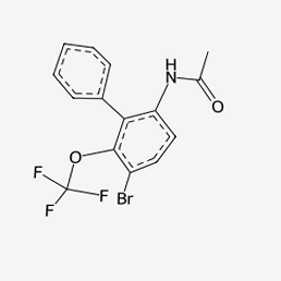 CC(=O)Nc1ccc(Br)c(OC(F)(F)F)c1-c1ccccc1